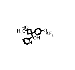 CC1(O)CC(c2ccc(OC(F)(F)F)cc2)([C@@H](O)c2ccccn2)C1